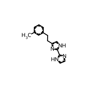 Cc1cccc(CCc2c[nH]c(-c3ncc[nH]3)n2)c1